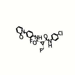 O=C(Nc1ccc(Cl)cc1)[C@@H]1[C@H](CF)[C@@H]1C(=O)Nc1ccc(-n2ccccc2=O)cc1F